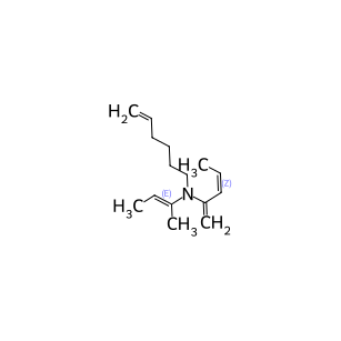 C=CCCCCN(C(=C)/C=C\C)/C(C)=C/C